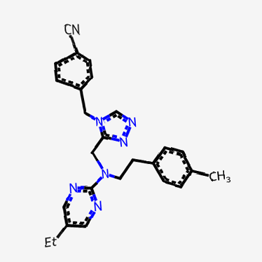 CCc1cnc(N(CCc2ccc(C)cc2)Cc2nncn2Cc2ccc(C#N)cc2)nc1